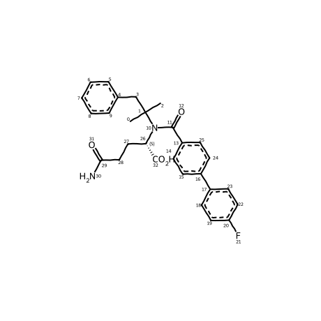 CC(C)(Cc1ccccc1)N(C(=O)c1ccc(-c2ccc(F)cc2)cc1)[C@@H](CCC(N)=O)C(=O)O